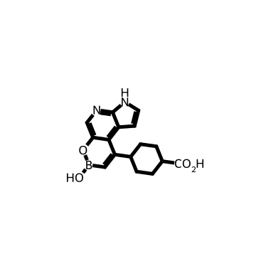 O=C(O)C1CCC(C2=CB(O)Oc3cnc4[nH]ccc4c32)CC1